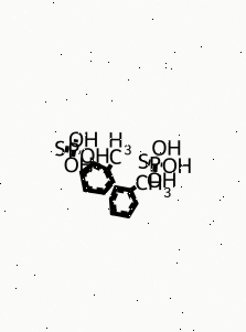 Cc1ccccc1.Cc1ccccc1.OP(O)(O)=S.OP(O)(O)=S